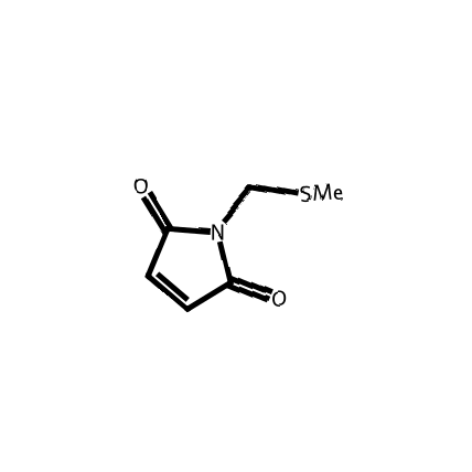 CSCN1C(=O)C=CC1=O